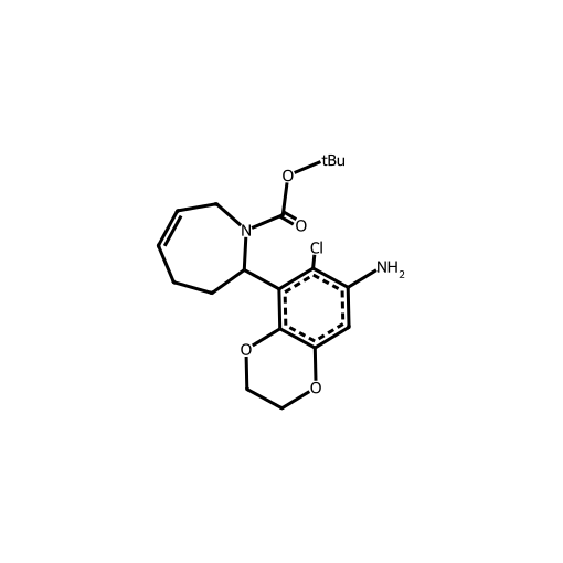 CC(C)(C)OC(=O)N1CC=CCCC1c1c(Cl)c(N)cc2c1OCCO2